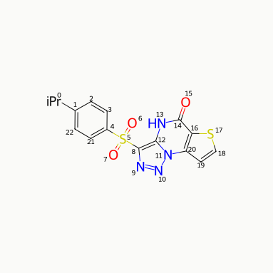 CC(C)c1ccc(S(=O)(=O)c2nnn3c2[nH]c(=O)c2sccc23)cc1